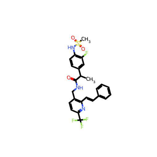 CC(C(=O)NCc1ccc(C(F)(F)F)nc1C=Cc1ccccc1)c1ccc(NS(C)(=O)=O)c(F)c1